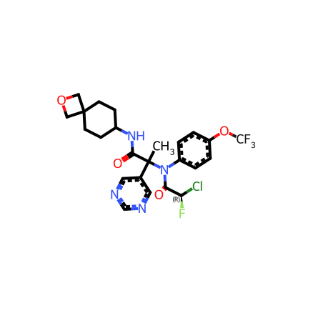 CC(C(=O)NC1CCC2(CC1)COC2)(c1cncnc1)N(C(=O)[C@H](F)Cl)c1ccc(OC(F)(F)F)cc1